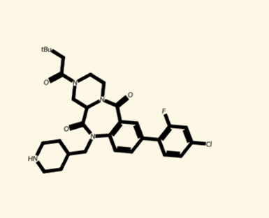 CC(C)(C)CC(=O)N1CCN2C(=O)c3cc(-c4ccc(Cl)cc4F)ccc3N(CC3CCNCC3)C(=O)C2C1